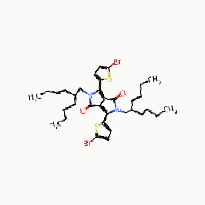 CCCCC(CCCC)CN1C(=O)C2=C(c3ccc(Br)s3)N(CC(CCCC)CCCC)C(=O)C2=C1c1ccc(Br)s1